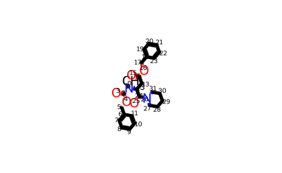 CN(C(=O)OCc1ccccc1)C(CC(=O)OCc1ccccc1)C(=O)N1CCCCC1